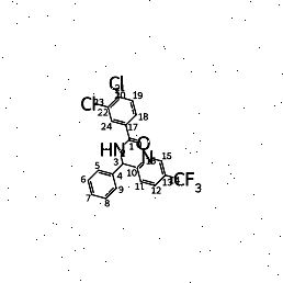 O=C(NC(c1ccccc1)c1ccc(C(F)(F)F)cn1)c1ccc(Cl)c(Cl)c1